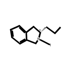 CCC[C@H]1Cc2ccccc2CN1I